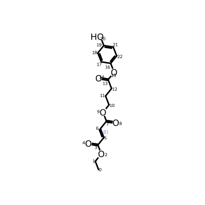 CCOC(=O)/C=C/C(=O)OCCCC(=O)Oc1ccc(O)cc1